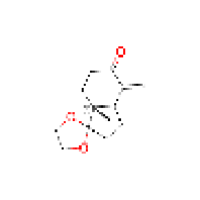 C=C1C(=O)CC[C@]2(C)C1CCC21OCCO1